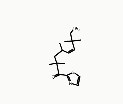 CC(/C=C\C(C)(C)CC(C)(C)C)CC(C)(C)C(=O)c1nccs1